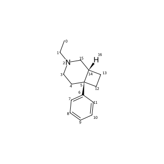 CCN1CC[C@@]2(c3ccccc3)CC[C@H]2C1